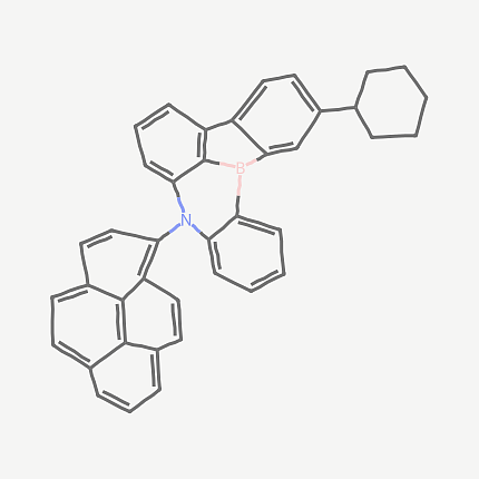 c1ccc2c(c1)B1c3cc(C4CCCCC4)ccc3-c3cccc(c31)N2c1ccc2ccc3cccc4ccc1c2c34